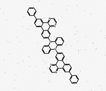 c1ccc(-c2ccc3c4ccc(N5c6ccccc6N(c6ccc7c8ccc(-c9ccccc9)cc8c8nccnc8c7c6)c6ccccc65)cc4c4nccnc4c3c2)cc1